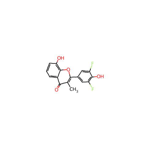 Cc1c(-c2cc(F)c(O)c(F)c2)oc2c(O)cccc2c1=O